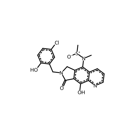 CN(c1c2c(c(O)c3ncccc13)C(=O)N(Cc1cc(Cl)ccc1O)C2)[S+](C)[O-]